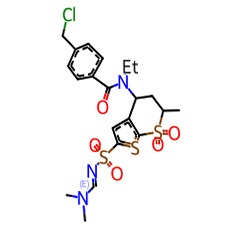 CCN(C(=O)c1ccc(CCl)cc1)C1CC(C)S(=O)(=O)c2sc(S(=O)(=O)/N=C/N(C)C)cc21